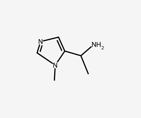 CC(N)c1cncn1C